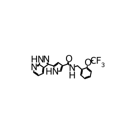 O=C(NCc1ccccc1OC(F)(F)F)c1c[nH]c(-c2n[nH]c3ncccc23)c1